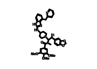 CCC(c1ccc2c(c1)OCO2)C(N1CCC(Nc2nc3c(Cc4ccccn4)cccc3[nH]2)CC1)N(C)C(=O)c1cc(OC)c(OC)c(OC)c1